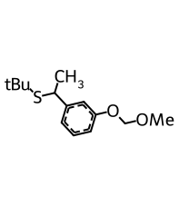 COCOc1cccc(C(C)SC(C)(C)C)c1